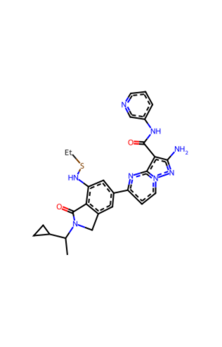 CCSNc1cc(-c2ccn3nc(N)c(C(=O)Nc4cccnc4)c3n2)cc2c1C(=O)N(C(C)C1CC1)C2